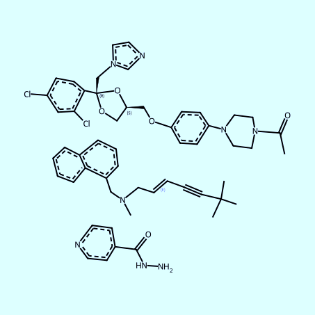 CC(=O)N1CCN(c2ccc(OC[C@H]3CO[C@](Cn4ccnc4)(c4ccc(Cl)cc4Cl)O3)cc2)CC1.CN(C/C=C/C#CC(C)(C)C)Cc1cccc2ccccc12.NNC(=O)c1ccncc1